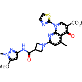 COc1cc(NC(=O)C2CN(c3cc(C)c4c(=O)c(C(=O)O)cn(-c5nccs5)c4n3)C2)nn1C